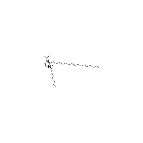 CCCCCCCCCCCCCCCCc1n(C(C)C)cc[n+]1CCCCCCC